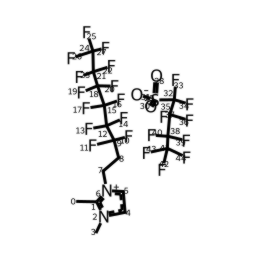 Cc1n(C)cc[n+]1CCC(F)(F)C(F)(F)C(F)(F)C(F)(F)C(F)(F)C(F)(F)F.O=S(=O)([O-])C(F)(F)C(F)(F)C(F)(F)C(F)(F)F